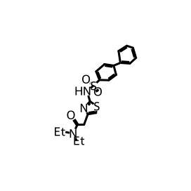 CCN(CC)C(=O)Cc1csc(NS(=O)(=O)c2ccc(-c3ccccc3)cc2)n1